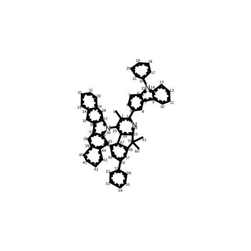 Cc1c(-c2ccc3c(c2)c2ccccc2n3-c2ccccc2)nc2c(c1-n1c3cc4ccccc4cc3c3cc4ccccc4cc31)-c1ccc(-c3ccccc3)cc1C2(C)C